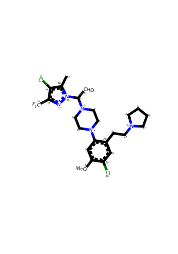 COc1cc(N2CCN(C(C=O)n3nc(C(F)(F)F)c(Cl)c3C)CC2)c(CCN2CCCC2)cc1Cl